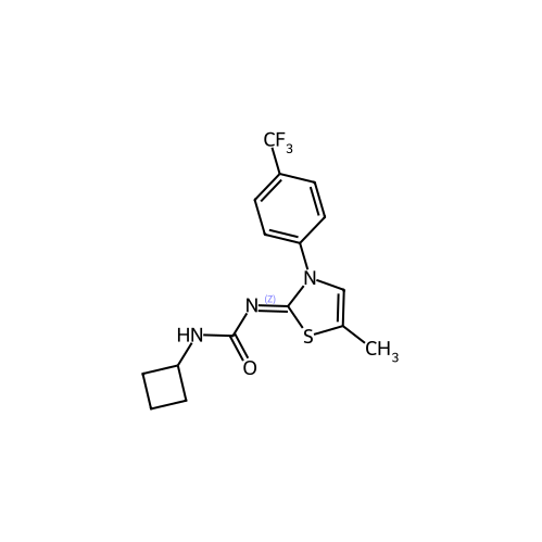 Cc1cn(-c2ccc(C(F)(F)F)cc2)/c(=N/C(=O)NC2CCC2)s1